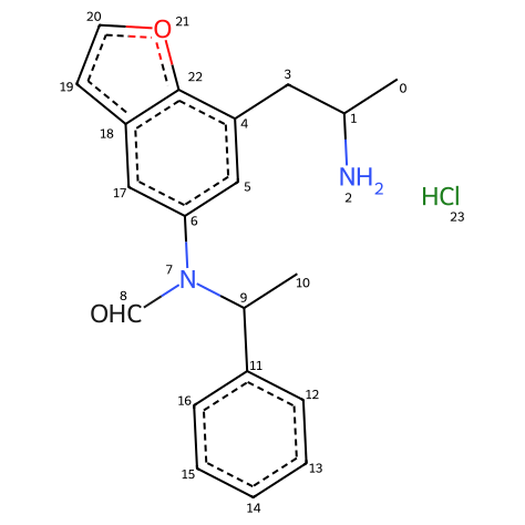 CC(N)Cc1cc(N(C=O)C(C)c2ccccc2)cc2ccoc12.Cl